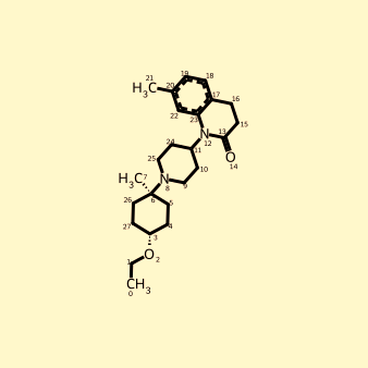 CCO[C@H]1CC[C@](C)(N2CCC(N3C(=O)CCc4ccc(C)cc43)CC2)CC1